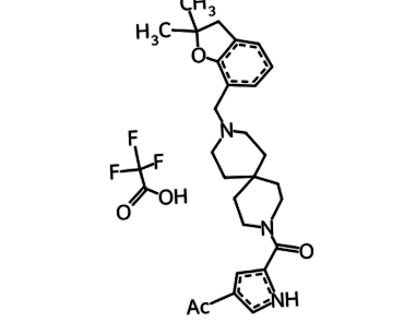 CC(=O)c1c[nH]c(C(=O)N2CCC3(CCN(Cc4cccc5c4OC(C)(C)C5)CC3)CC2)c1.O=C(O)C(F)(F)F